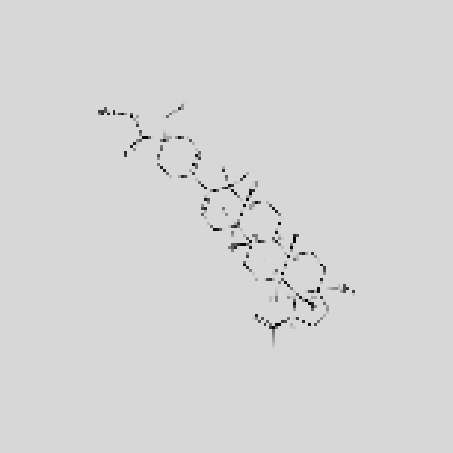 C=C(C)[C@@H]1CC[C@]2(N)CC[C@]3(C)[C@H](CC[C@@H]4[C@@]5(C)CC=C(C6=CC[C@](CF)(C(=O)OCCCC)CC6)C(C)(C)[C@@H]5CC[C@]43C)[C@@H]12